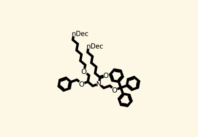 CCCCCCCCCCCCCCCCOCC(CN(CCOC(c1ccccc1)(c1ccccc1)c1ccccc1)C(=O)CCCCCCCCCCCCCCC)OCc1ccccc1